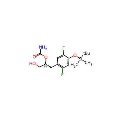 CC(C)(C)[Si](C)(C)Oc1cc(F)c(C[C@@H](CO)OC(N)=O)cc1F